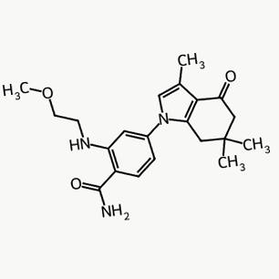 COCCNc1cc(-n2cc(C)c3c2CC(C)(C)CC3=O)ccc1C(N)=O